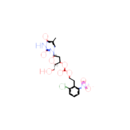 Cc1cn([C@H]2CC(OC(=O)OCCc3c(Cl)cccc3[N+](=O)[O-])[C@@H](CO)O2)c(=O)[nH]c1=O